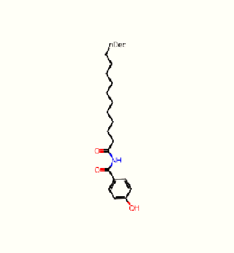 CCCCCCCCCCCCCCCCCCCCC(=O)NC(=O)c1ccc(O)cc1